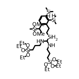 CCO[Si](CCCNC(NCCC[Si](OCC)(OCC)OCC)[SiH2]CCc1c(C(C)[Si](C)(OC)OC)ccc([SiH](C)C)c1[SiH](C)C)(OCC)OCC